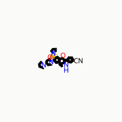 CC1(C)c2cc(N3CCC(N4CCCC4)CC3)c([S+]([O-])N3CCCC3)cc2C(=O)c2c1[nH]c1cc(C#N)ccc21